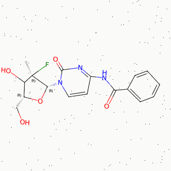 C[C@@]1(F)C(O)[C@@H](CO)O[C@H]1n1ccc(NC(=O)c2ccccc2)nc1=O